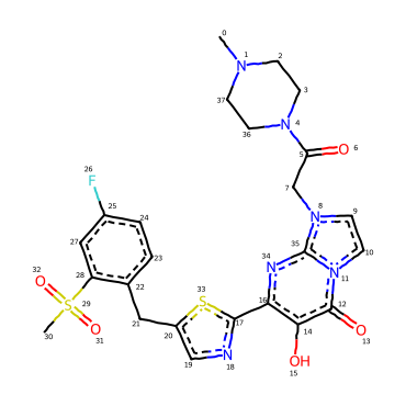 CN1CCN(C(=O)Cn2ccn3c(=O)c(O)c(-c4ncc(Cc5ccc(F)cc5S(C)(=O)=O)s4)nc23)CC1